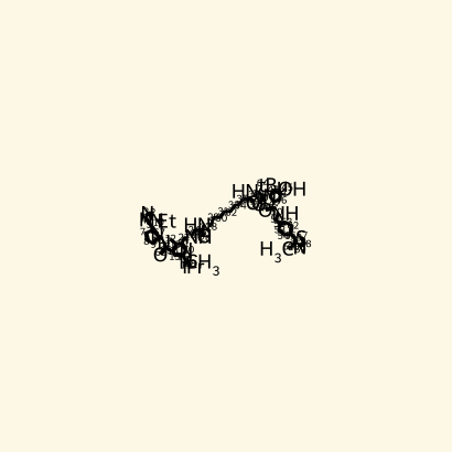 CCn1cnnc1-c1cccc(N2Cc3c(cc(N(C)C(C)C)nc3CNCC(=O)NCCCCCCCCC(=O)N[C@H](C(=O)N3C[C@H](O)C[C@H]3C(=O)NCc3ccc(-c4scnc4C)cc3)C(C)(C)C)C2=O)n1